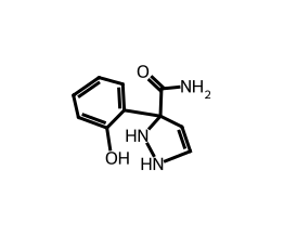 NC(=O)C1(c2ccccc2O)C=CNN1